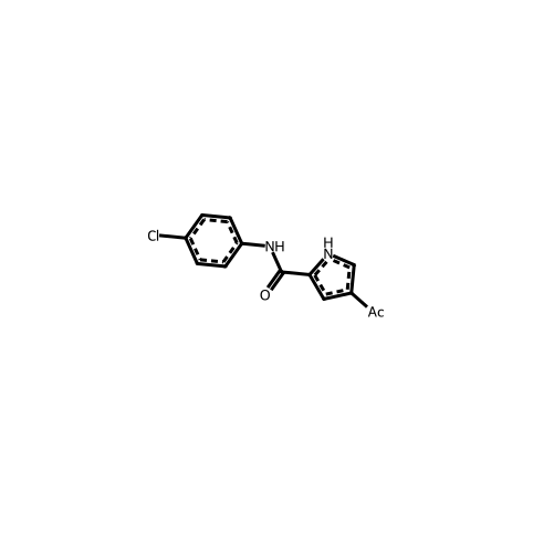 CC(=O)c1c[nH]c(C(=O)Nc2ccc(Cl)cc2)c1